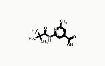 Cc1cc(C(=O)O)cc(NC(=O)C(C)(C)C)n1